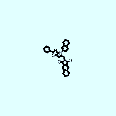 O=C1C(=Cc2cc3sc(-c4ccccc4)nc3n2-c2ccc3ccccc3c2)C(=O)c2cc3ccccc3cc21